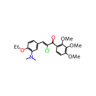 CCOc1ccc(C=C(Cl)C(=O)c2ccc(OC)c(OC)c2OC)cc1N(C)C